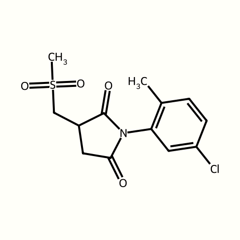 Cc1ccc(Cl)cc1N1C(=O)CC(CS(C)(=O)=O)C1=O